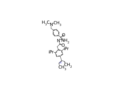 C=C/C(=C\C)c1cc(C(C)C)c(CC(=O)N=S(N)(=O)c2ccc(CN(C)C)cc2)c(C(C)C)c1